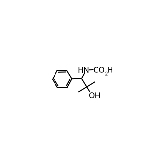 CC(C)(O)C(NC(=O)O)c1ccccc1